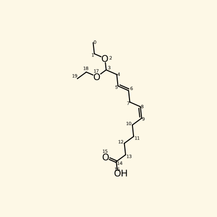 CCOC(CC=CC/C=C\CCCCC(=O)O)OCC